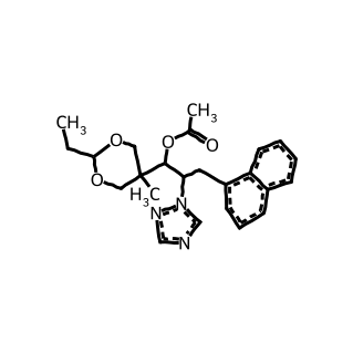 CCC1OCC(C)(C(OC(C)=O)C(Cc2cccc3ccccc23)n2cncn2)CO1